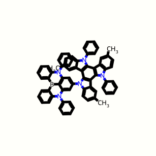 Cc1ccc2c(c1)c1c(c3c4cc(C)ccc4n(-c4cc5c6c(c4)N(c4ccccc4)c4ccccc4B6c4ccccc4N5c4ccccc4)c3c3c4cc(C)ccc4n(-c4ccccc4)c13)n2-c1ccccc1